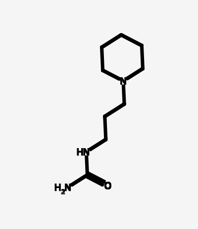 NC(=O)NCCCN1CCCCC1